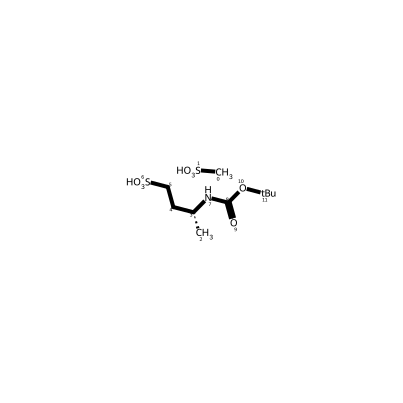 CS(=O)(=O)O.C[C@H](CCS(=O)(=O)O)NC(=O)OC(C)(C)C